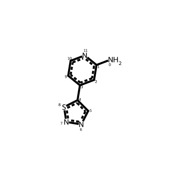 Nc1cc(-c2cnns2)ccn1